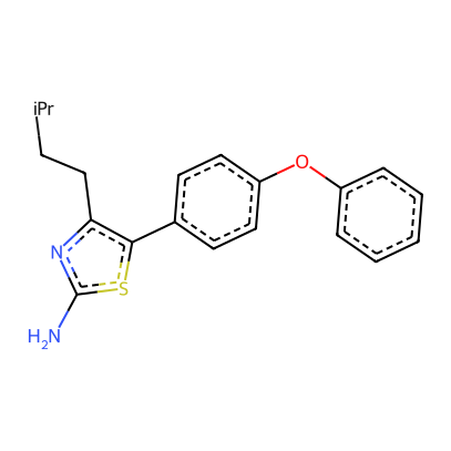 CC(C)CCc1nc(N)sc1-c1ccc(Oc2ccccc2)cc1